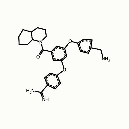 N=C(N)c1ccc(Oc2cc(Oc3ccc(CN)cc3)cc(C(=O)N3CCCC4CCCCC43)c2)cc1